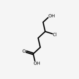 O=C(O)CCC(Cl)CO